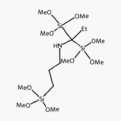 CCC(NCCC[Si](OC)(OC)OC)([Si](OC)(OC)OC)[Si](OC)(OC)OC